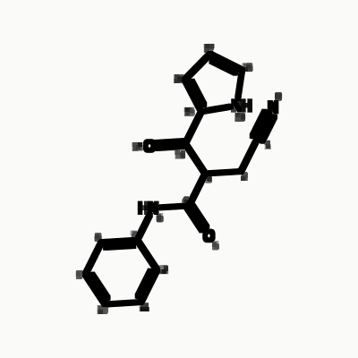 N#CCC(C(=O)Nc1ccccc1)C(=O)c1ccc[nH]1